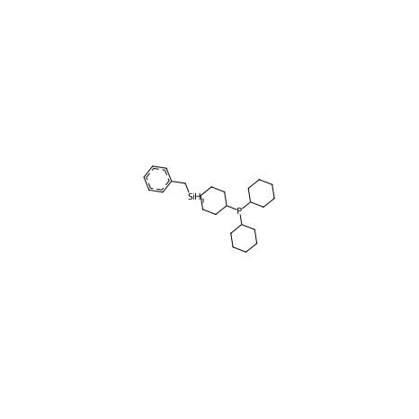 C1CCC(P(C2CCCCC2)C2CCCCC2)CC1.[SiH3]Cc1ccccc1